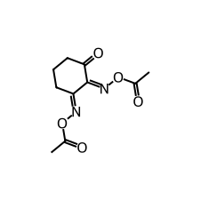 CC(=O)ON=C1CCCC(=O)C1=NOC(C)=O